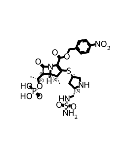 C[C@@H](OP(=O)(O)O)[C@H]1C(=O)N2C(C(=O)OCc3ccc([N+](=O)[O-])cc3)=C(S[C@@H]3CN[C@H](CNS(N)(=O)=O)C3)[C@H](C)[C@H]12